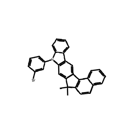 CC1(C)c2cc3c(cc2-c2c1ccc1ccccc21)c1ccccc1n3-c1cccc(Br)c1